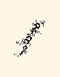 CCN(C(=O)c1ccc(NC(=O)c2ncc(-c3ccc(OC(F)F)c(F)c3F)n2C)cc1Cl)C1CN(C(=O)CCN)C1